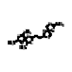 CC1OCC2(COC(CCC3OC(C)C4(OC(C)OC4C)O3)O2)O1